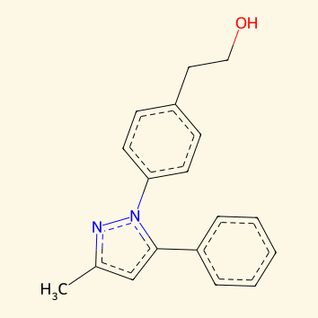 Cc1cc(-c2ccccc2)n(-c2ccc(CCO)cc2)n1